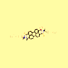 C=c1c2ccc3c4ccc5c6c(ccc(c7ccc(c(=S)n1[C@@H](C)CCCCC)c2c37)c64)C(=O)N([C@@H](C)CCCCC)C5=S